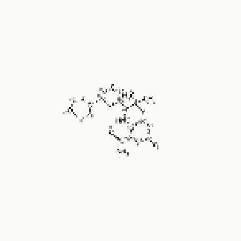 CC1(C)Cc2cc(Cl)cc(C(N)=O)c2NC1c1cccc(N2CCOCC2)c1